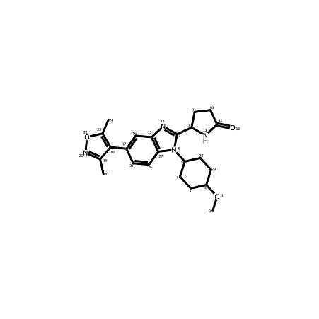 COC1CCC(n2c(C3CCC(=O)N3)nc3cc(-c4c(C)noc4C)ccc32)CC1